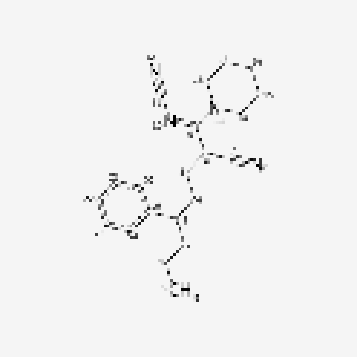 CCCC(CCC(C#N)/C(=N/C#N)N1CCCCC1)c1ccccc1